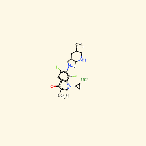 CC1CNC2CN(c3c(F)cc4c(=O)c(C(=O)O)cn(C5CC5)c4c3F)CC2C1.Cl